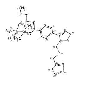 CCCCC[C@H](O[Si](C)(C)C(C)(C)C)c1ccc(C2=CCCC2CCCc2cccs2)cc1